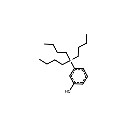 CCCC[N+](CCCC)(CCCC)c1cccc(O)c1